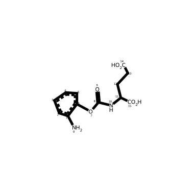 Nc1ccccc1OC(=O)NC(CCC(=O)O)C(=O)O